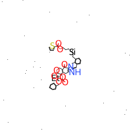 CCC1(OC(=O)OCc2ccccc2)C(=O)OCC2=C1CC1=C(C2=O)N2Cc3c(cccc3CC[Si](C)(C)CCCOC(=O)c3cccs3)C=C2N1